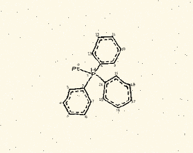 [Pt][PH](c1ccccc1)(c1ccccc1)c1ccccc1